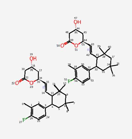 Cc1cc(C2CC(C)(C)CC(C)(C)C2/C=C/[C@@H]2C[C@@H](O)CC(=O)O2)ccc1F.Cc1cc(C2CC(C)(C)CC(C)(C)C2/C=C/[C@@H]2C[C@@H](O)CC(=O)O2)ccc1F